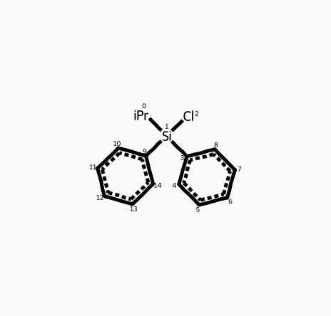 CC(C)[Si](Cl)(c1ccccc1)c1ccccc1